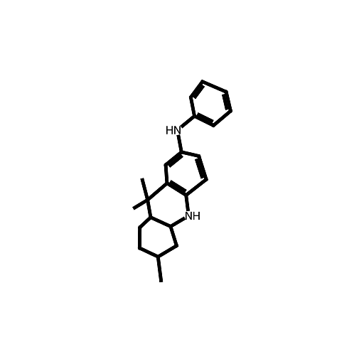 CC1CCC2C(C1)Nc1ccc(Nc3ccccc3)cc1C2(C)C